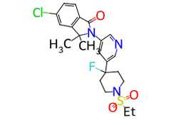 CCS(=O)(=O)N1CCC(F)(c2cncc(N3C(=O)c4ccc(Cl)cc4C3(C)C)c2)CC1